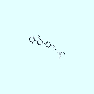 Cc1cccnc1-n1nc(C)c(-c2ccc(OCCCN3CCCC3C)cc2)cc1=O